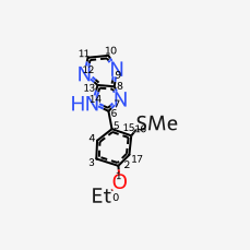 CCOc1ccc(-c2nc3nccnc3[nH]2)c(SC)c1